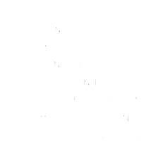 Cc1ncc(C)c(Nc2ccccc2S(=O)(=O)N(C)C)n1